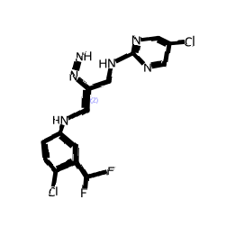 N=N/C(=C\Nc1ccc(Cl)c(C(F)F)c1)CNc1ncc(Cl)cn1